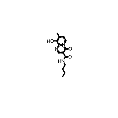 CCCCNC(=O)c1cnc2c(O)c(C)ccn2c1=O